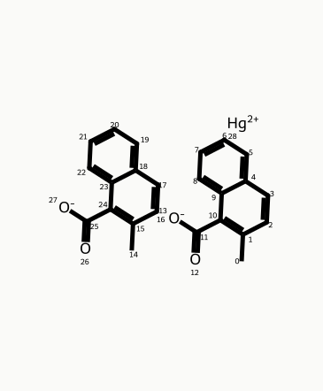 Cc1ccc2ccccc2c1C(=O)[O-].Cc1ccc2ccccc2c1C(=O)[O-].[Hg+2]